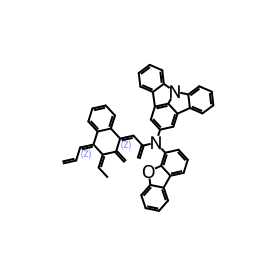 C=C/C=c1\c(=CC)c(=C)/c(=C\C(=C)N(c2cc3c4ccccc4n4c5ccccc5c(c2)c34)c2cccc3c2oc2ccccc23)c2ccccc12